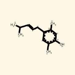 Cc1cc(CC=CC(C)C)c(C)cc1O